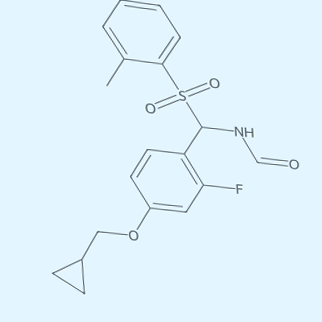 Cc1ccccc1S(=O)(=O)C(NC=O)c1ccc(OCC2CC2)cc1F